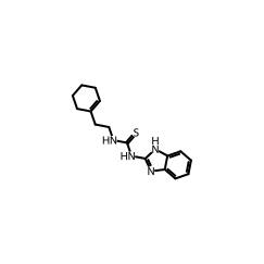 S=C(NCCC1=CCCCC1)Nc1nc2ccccc2[nH]1